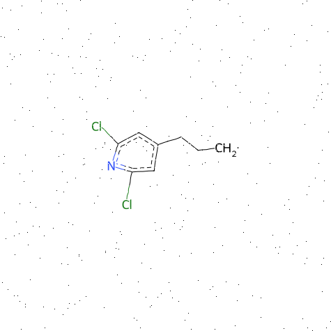 [CH2]CCc1cc(Cl)nc(Cl)c1